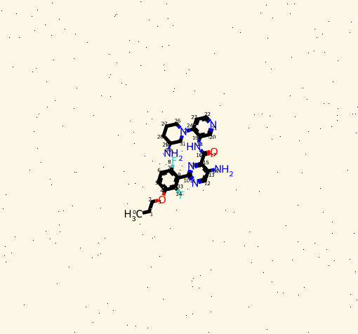 CCCOc1ccc(F)c(-c2ncc(N)c(C(=O)Nc3cnccc3N3CCC[C@H](N)C3)n2)c1F